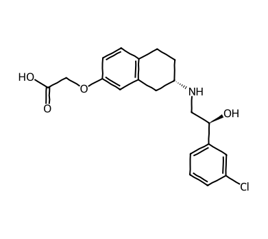 O=C(O)COc1ccc2c(c1)C[C@@H](NC[C@@H](O)c1cccc(Cl)c1)CC2